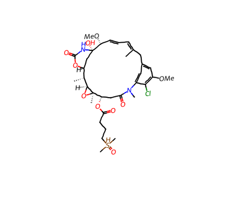 COc1cc2cc(c1Cl)N(C)C(=O)C[C@H](OC(=O)CCC[SH](C)(C)=O)[C@@]1(C)O[C@H]1[C@H](C)[C@@H]1C[C@@](O)(NC(=O)O1)[C@H](OC)/C=C/C=C(\C)C2